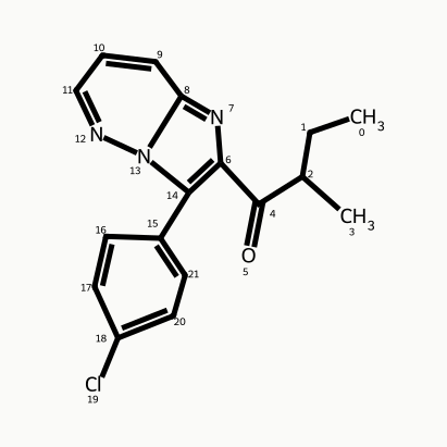 CCC(C)C(=O)c1nc2cccnn2c1-c1ccc(Cl)cc1